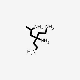 CC(N)CC(N)(CCN)CCN